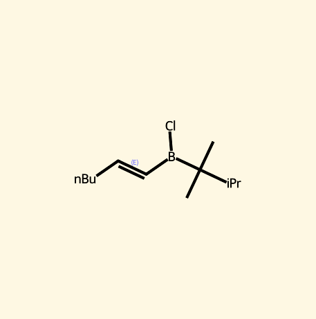 CCCC/C=C/B(Cl)C(C)(C)C(C)C